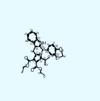 CCOC(=O)c1c(C(=O)OCC)c(C(C)C)n2c1Cc1c([nH]c3ccccc13)C2c1ccc2c(c1)OCO2